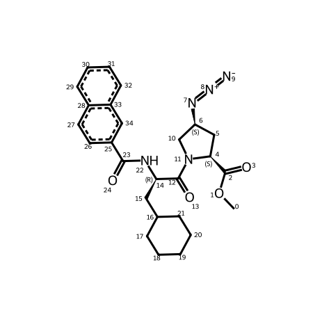 COC(=O)[C@@H]1C[C@H](N=[N+]=[N-])CN1C(=O)[C@@H](CC1CCCCC1)NC(=O)c1ccc2ccccc2c1